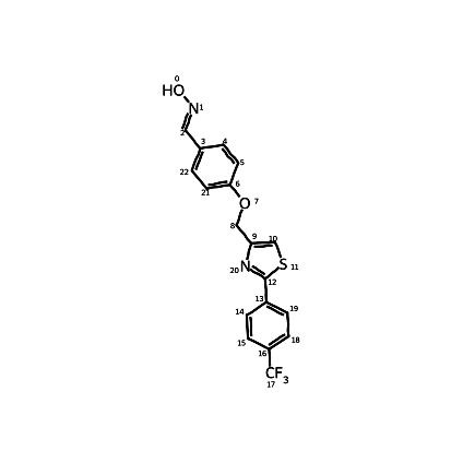 ON=Cc1ccc(OCc2csc(-c3ccc(C(F)(F)F)cc3)n2)cc1